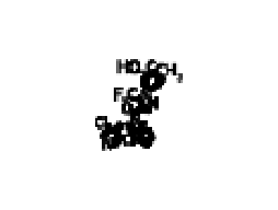 CC1(C(=O)O)CCC(n2ncc(C(=O)N3CC4(CC=CC4)C[C@@H]3Cc3c(Cl)cncc3Cl)c2C(F)(F)F)CC1